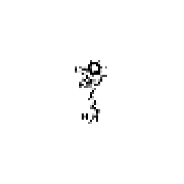 NCCSCCNS(=O)(=O)c1c(Cl)cccc1Cl